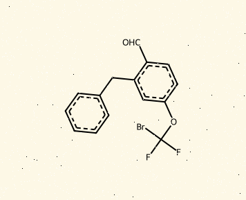 O=Cc1ccc(OC(F)(F)Br)cc1Cc1ccccc1